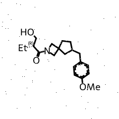 CC[C@H](CO)C(=O)N1CC2(CCC(Cc3ccc(OC)cc3)C2)C1